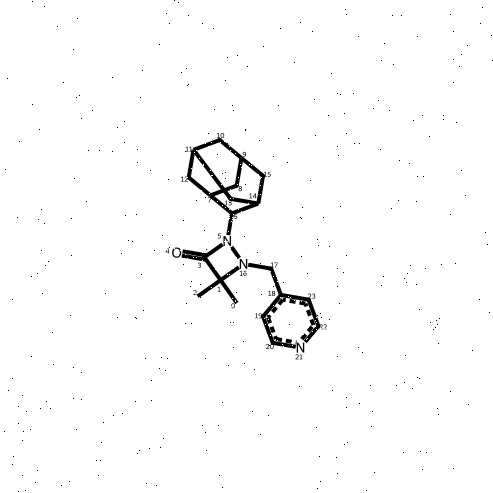 CC1(C)C(=O)N(C2C3CC4CC(C3)CC2C4)N1Cc1ccncc1